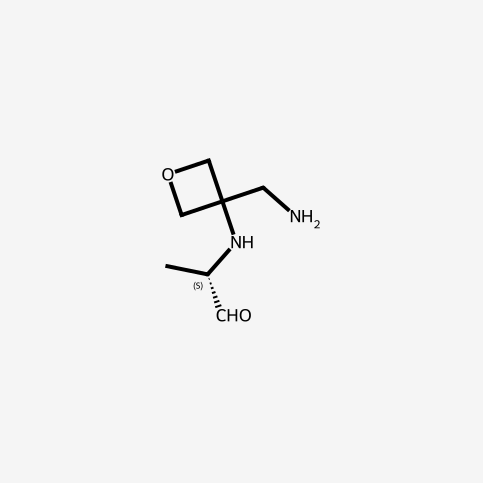 C[C@@H](C=O)NC1(CN)COC1